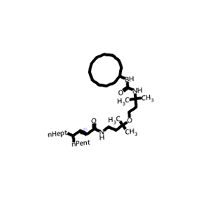 CCCCCCCC(/C=C/C(=O)NCCC(C)(C)OCCC(C)(C)NC(=O)BC1CCCCCCCCCCC1)CCCCC